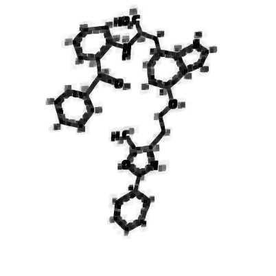 Cc1oc(-c2ccccc2)nc1CCOc1ccc(CC(Nc2ccccc2C(=O)c2ccccc2)C(=O)O)c2sccc12